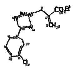 C=C(Cn1nnc(-c2cccc(Cl)c2)n1)C(=O)OCC